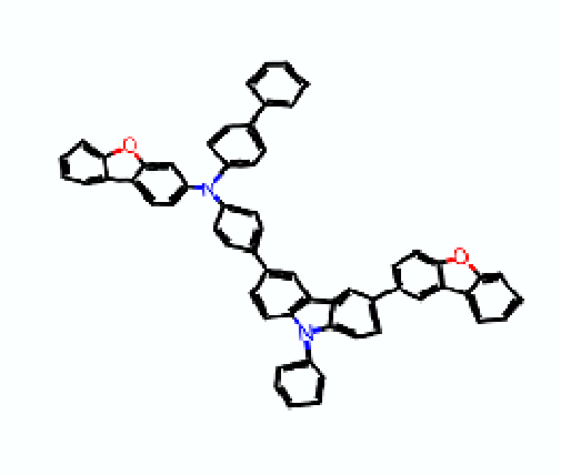 c1ccc(-c2ccc(N(c3ccc(-c4ccc5c(c4)c4cc(-c6ccc7oc8ccccc8c7c6)ccc4n5-c4ccccc4)cc3)c3ccc4c(c3)oc3ccccc34)cc2)cc1